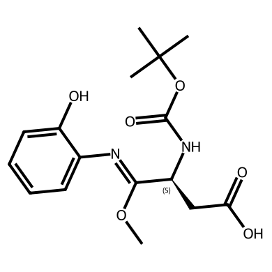 COC(=Nc1ccccc1O)[C@H](CC(=O)O)NC(=O)OC(C)(C)C